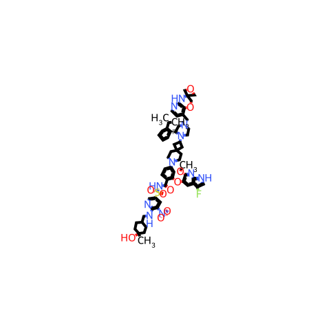 COc1nc2[nH]cc(F)c2cc1Oc1cc(N2CCC3(CC2)CC(N2CCN(Cc4ccnc5c4OCC4(COC4)N5)C[C@H]2c2ccccc2C(C)C)C3)ccc1C(=O)NS(=O)(=O)c1cnc(NCC2CCC(C)(O)CC2)c([N+](=O)[O-])c1